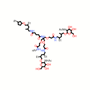 CCCNC(=O)CCOCC(COCCC(=O)NCC(CC)CC(C)COC1OC(CO)C(O)C(O)C1NC(C)=O)(COCCC(=O)NCC(CC)CC(CC)COC1OC(CO)C(O)C(O)C1NC(C)=O)NC(=O)CCCC(=O)NCC(C)CC(CC)COC1CCC(C(C)C)C1